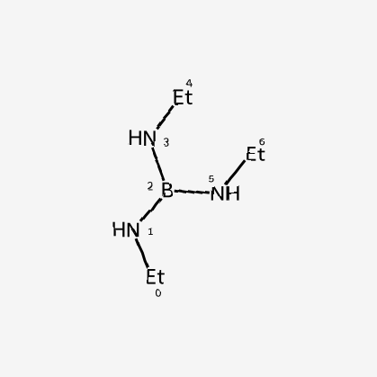 CCNB(NCC)NCC